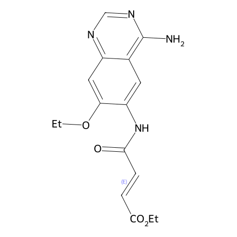 CCOC(=O)/C=C/C(=O)Nc1cc2c(N)ncnc2cc1OCC